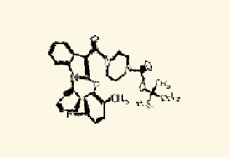 Cc1ccc(F)cc1Oc1c(C(=O)N2CCN(C(=O)OC(C)(C)C)CC2)c2ccccc2n1-c1ccccc1